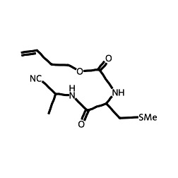 C=CCCOC(=O)NC(CSC)C(=O)NC(C)C#N